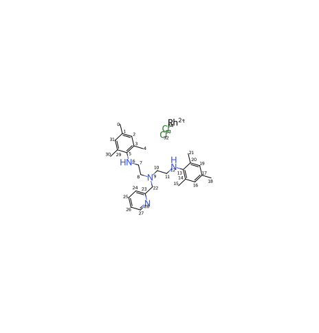 Cc1cc(C)c(NCCN(CCNc2c(C)cc(C)cc2C)Cc2ccccn2)c(C)c1.[Cl-].[Cl-].[Rh+2]